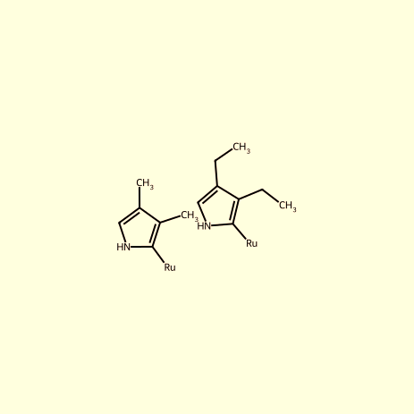 CCc1c[nH][c]([Ru])c1CC.Cc1c[nH][c]([Ru])c1C